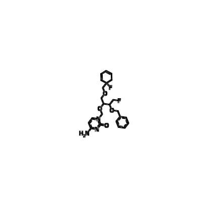 Nc1ccn(COC(COCC2(F)C=CC=CC2)C(CF)OCc2ccccc2)c(=O)n1